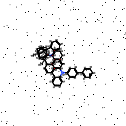 CCC12C3C[C@@H]1C[C@@H]1c4ccc(-c5ccccc5N(c5ccc(-c6ccccc6)cc5)c5ccc(-n6c7ccccc7c7ccccc76)cc5)cc4C4=CCCC=C4[C@@]12C3